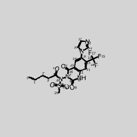 CCCCC(=O)N(n1c(=O)[nH]c2cc(C(F)(F)F)c(-n3ccnc3)cc2c1=O)S(C)(=O)=O